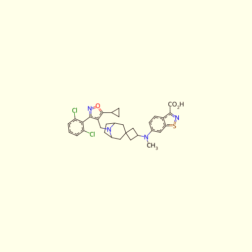 CN(c1ccc2c(C(=O)O)nsc2c1)C1CC2(C1)CC1CCC(C2)N1Cc1c(-c2c(Cl)cccc2Cl)noc1C1CC1